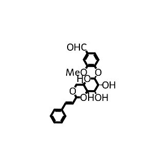 COc1cc(C=O)ccc1O[C@@H]1O[C@@H]2COC(C=Cc3ccccc3)O[C@H]2[C@H](O)[C@H]1O